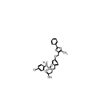 Cc1oc(-c2ccccc2)nc1COc1ccc(CN(CC(=O)O)S(=O)(=O)N(C)c2ccc(Cl)cc2)cc1